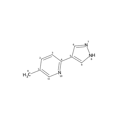 Cc1ccc(-c2cn[nH]c2)nc1